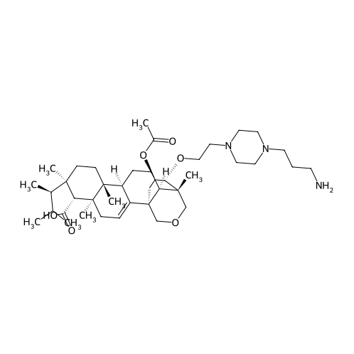 CC(=O)O[C@@H]1C[C@@]23COC[C@](C)([C@@H]2CC[C@H]2C3=CC[C@@]3(C)[C@H](C(=O)O)[C@@](C)([C@H](C)C(C)C)CC[C@]23C)[C@H]1OCCN1CCN(CCCN)CC1